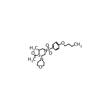 CCCCOc1ccc(S(=O)(=O)N(CCN2CCOCC2)CC(C)SC(C)=O)cc1